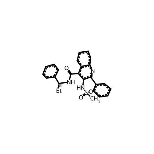 CC[C@H](NC(=O)c1c(NS(C)(=O)=O)c(-c2ccccc2)nc2ccccc12)c1ccccc1